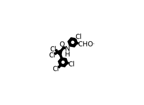 O=[C]c1cc(NC(=O)C2C(c3cc(Cl)cc(Cl)c3)C2(Cl)Cl)ccc1Cl